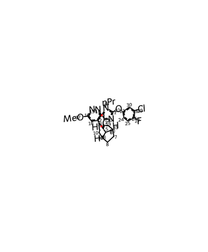 CCCn1nc(NC2[C@@H]3CC[C@H]2CN(c2cnnc(OC)c2)C3)nc1Oc1ccc(F)c(Cl)c1